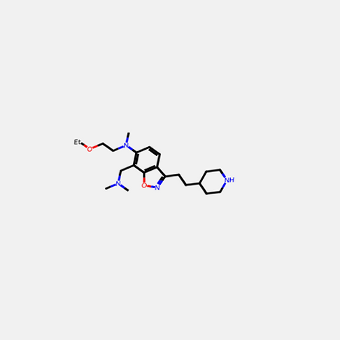 CCOCCN(C)c1ccc2c(CCC3CCNCC3)noc2c1CN(C)C